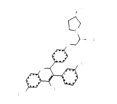 C[C@@H]1CCN([C@@H](C)COc2ccc(C3Oc4ccc(O)cc4C(C(F)(F)F)=C3c3cccc(O)c3)cc2)C1